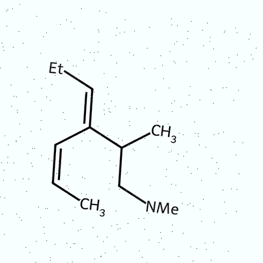 C/C=C\C(=C/CC)C(C)CNC